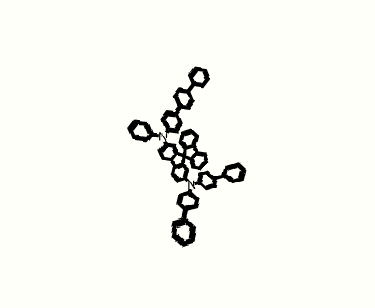 C1=C(N(c2ccccc2)c2ccc(-c3ccc(-c4ccccc4)cc3)cc2)C=C2C(C1)c1ccc(N(c3ccc(-c4ccccc4)cc3)c3ccc(-c4ccccc4)cc3)cc1C21c2ccccc2-c2ccccc21